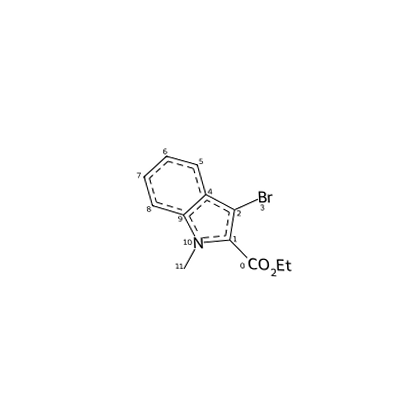 CCOC(=O)c1c(Br)c2ccccc2n1C